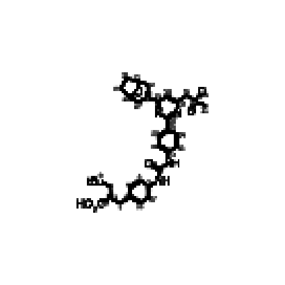 CC(C)(C)CN(Cc1ccc(NC(=O)Nc2ccc(-c3nc(CS(C)(=O)=O)cc(N4CC5CCC(C4)O5)n3)cc2)cc1)C(=O)O